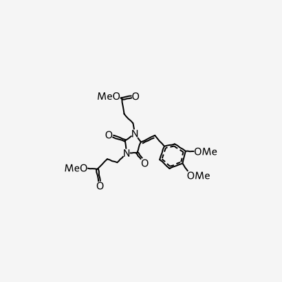 COC(=O)CCN1C(=O)/C(=C\c2ccc(OC)c(OC)c2)N(CCC(=O)OC)C1=O